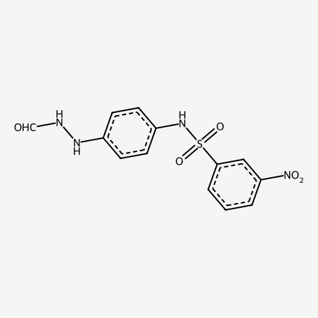 O=CNNc1ccc(NS(=O)(=O)c2cccc([N+](=O)[O-])c2)cc1